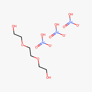 O=[N+]([O-])O.O=[N+]([O-])O.O=[N+]([O-])O.OCCOCCOCCO